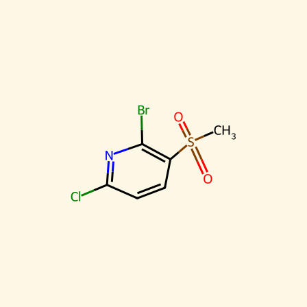 CS(=O)(=O)c1ccc(Cl)nc1Br